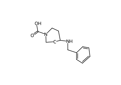 O=C(O)N1CCC(NCc2ccccc2)CC1